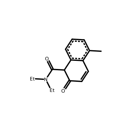 CCN(CC)C(=O)C1C(=O)C=Cc2c(C)cccc21